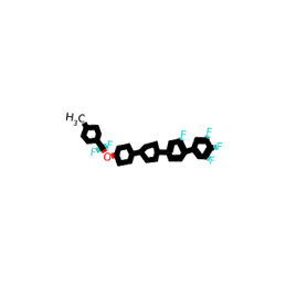 CC1CCC(C(F)(F)OC2CCC(C3CCC(c4ccc(-c5cc(F)c(F)c(F)c5)c(F)c4)CC3)CC2)CC1